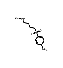 CC(C)NCCCCS(=O)(=O)C1=CC[C]([N+](=O)[O-])C=C1